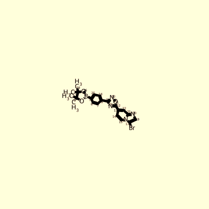 CC1(C)OB(c2ccc(-c3noc(-c4ccn5c(Br)cnc5c4)n3)cc2)OC1(C)C